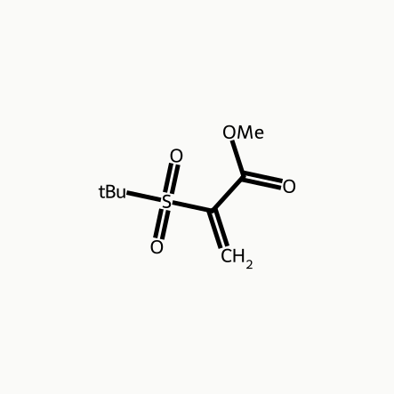 C=C(C(=O)OC)S(=O)(=O)C(C)(C)C